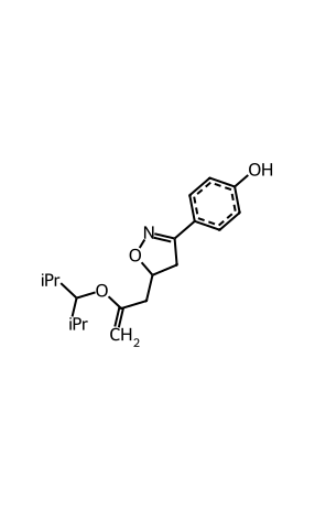 C=C(CC1CC(c2ccc(O)cc2)=NO1)OC(C(C)C)C(C)C